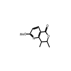 COc1ccc2c(n1)C(C)C(C)OC2=O